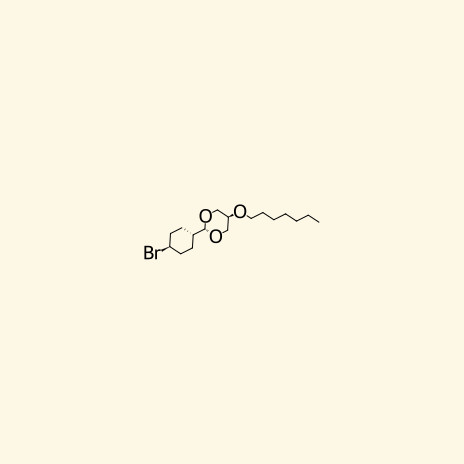 CCCCCCCO[C@H]1CO[C@H]([C@H]2CC[C@H](Br)CC2)OC1